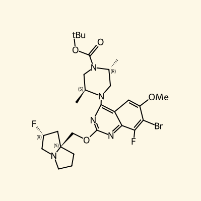 COc1cc2c(N3C[C@@H](C)N(C(=O)OC(C)(C)C)C[C@@H]3C)nc(OC[C@@]34CCCN3C[C@H](F)C4)nc2c(F)c1Br